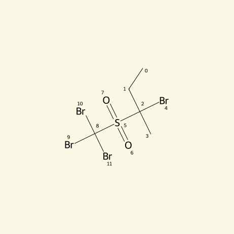 CCC(C)(Br)S(=O)(=O)C(Br)(Br)Br